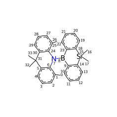 Cc1cccc2c1N(B1c3ccccc3[Si](C)(C)c3ccccc31)c1c(C)cccc1C2(C)C